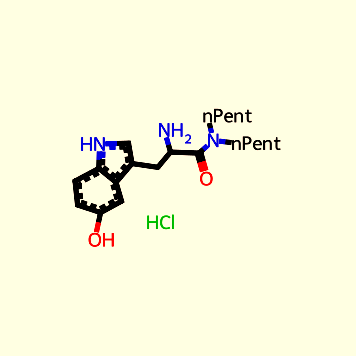 CCCCCN(CCCCC)C(=O)C(N)Cc1c[nH]c2ccc(O)cc12.Cl